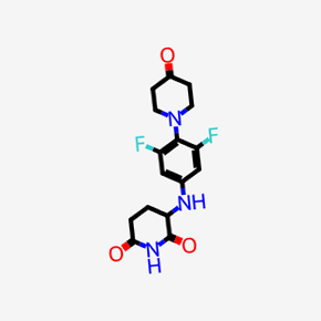 O=C1CCN(c2c(F)cc(NC3CCC(=O)NC3=O)cc2F)CC1